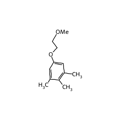 COCCOc1cc(C)c(C)c(C)c1